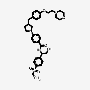 CCS(=O)(=O)c1ccc(C(CO)NC(=O)c2ccc(N3CCC(Cc4ccc(OCCN5CCOCC5)cc4)C3)cc2)cc1